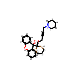 OC1(C2(CCC#CCN3CCCCC3)SCCCS2)c2ccccc2Oc2ccccc21